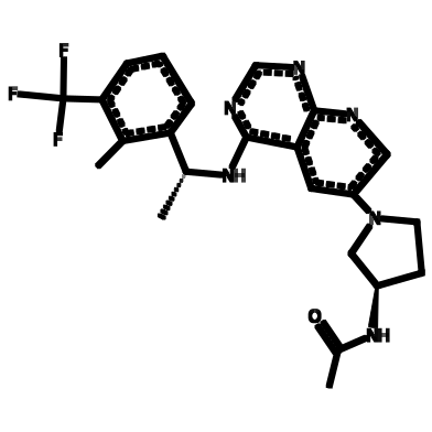 CC(=O)N[C@@H]1CCN(c2cnc3ncnc(N[C@H](C)c4cccc(C(F)(F)F)c4C)c3c2)C1